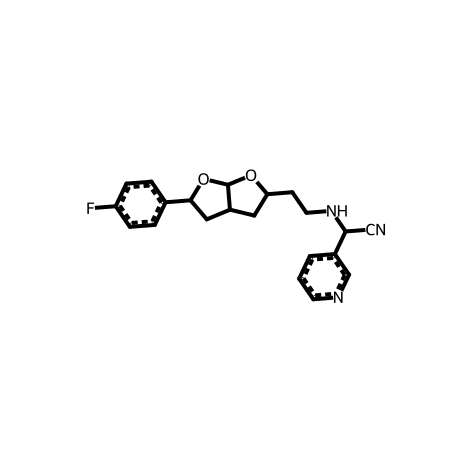 N#CC(NCCC1CC2CC(c3ccc(F)cc3)OC2O1)c1cccnc1